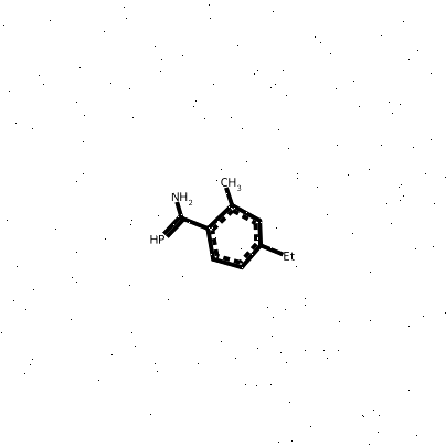 CCc1ccc(C(N)=P)c(C)c1